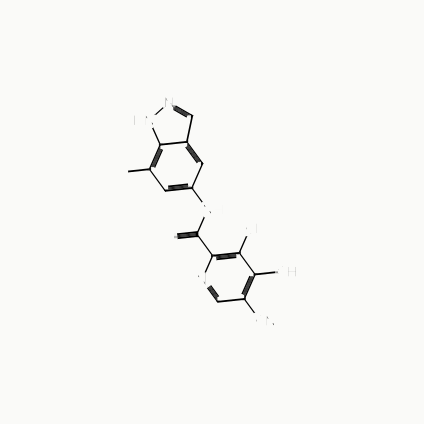 Cc1c(C#N)cnc(C(=O)Nc2cc(F)c3[nH]ncc3c2)c1C